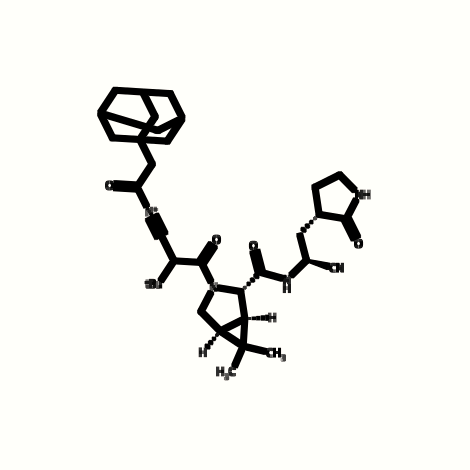 CC(C)(C)C(C#[N+]C(=O)CC12CC3CC(CC(C3)C1)C2)C(=O)N1C[C@H]2[C@@H]([C@H]1C(=O)N[C@H](C#N)C[C@@H]1CCNC1=O)C2(C)C